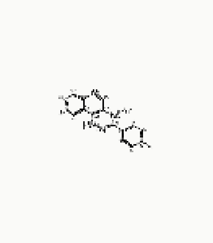 CC(=O)N1C(c2ccc(C)cc2)=NNc2c1cnc1ccccc21